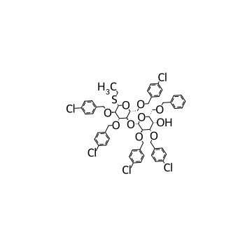 CCS[C@@H]1O[C@H](COCc2ccc(Cl)cc2)[C@@H](O[C@@H]2O[C@H](COCc3ccccc3)[C@H](O)[C@H](OCc3ccc(Cl)cc3)[C@H]2OCc2ccc(Cl)cc2)[C@H](OCc2ccc(Cl)cc2)[C@H]1OCc1ccc(Cl)cc1